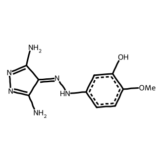 COc1ccc(NN=C2C(N)=NN=C2N)cc1O